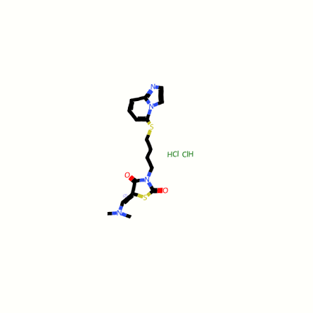 CN(C)/C=C1\SC(=O)N(CCCCSc2cccc3nccn23)C1=O.Cl.Cl